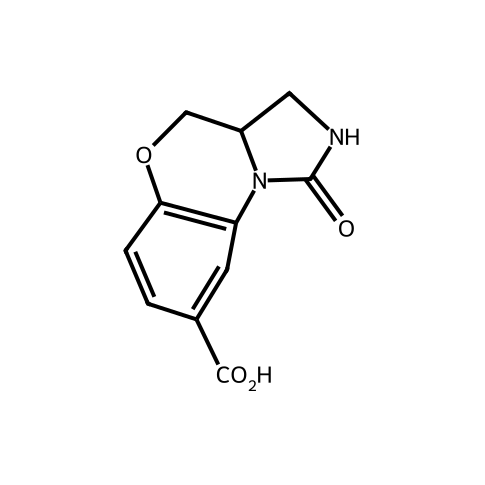 O=C(O)c1ccc2c(c1)N1C(=O)NCC1CO2